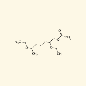 CCOC(C)CCCC(COC(N)=O)OCC